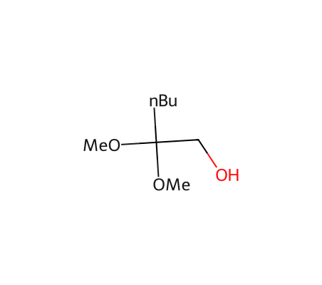 CCCCC(CO)(OC)OC